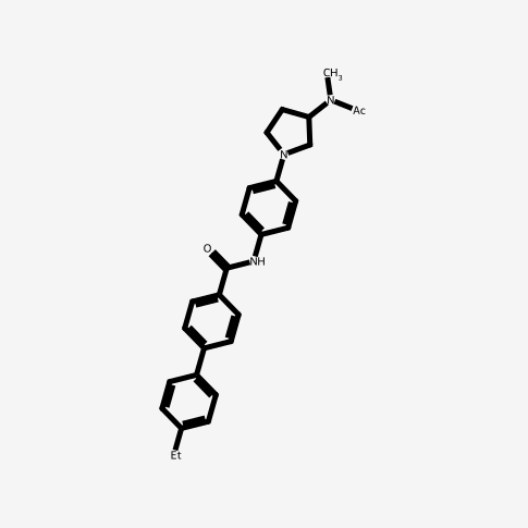 CCc1ccc(-c2ccc(C(=O)Nc3ccc(N4CCC(N(C)C(C)=O)C4)cc3)cc2)cc1